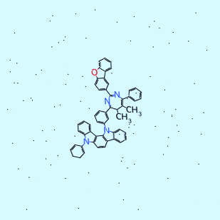 CC1=C(c2ccccc2)N=C(c2ccc3oc4ccccc4c3c2)N=C(c2cccc(-n3c4ccccc4c4ccc5c(c6ccccc6n5C5=CCCC=C5)c43)c2)C1C